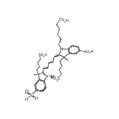 CC[N+]1=C(/C=C/C=C/C=C2/N(CCCCCC(=O)O)c3ccc(S(=O)(=O)O)cc3C2(C)CCCCS(=O)(=O)O)C(C)(CCCCS(=O)(=O)O)c2cc(S(=O)(=O)[O-])ccc21